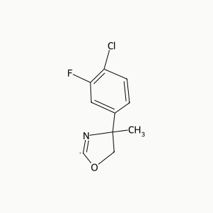 CC1(c2ccc(Cl)c(F)c2)CO[C]=N1